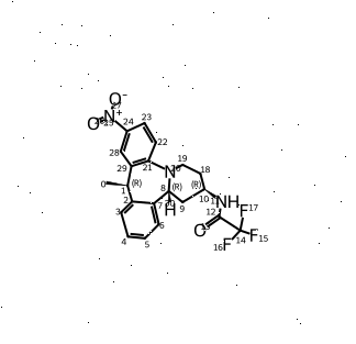 C[C@@H]1c2ccccc2[C@H]2C[C@H](NC(=O)C(F)(F)F)CCN2c2ccc([N+](=O)[O-])cc21